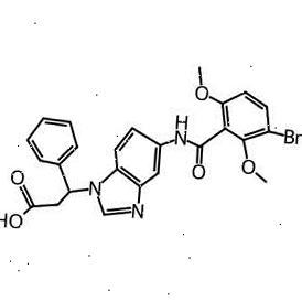 COc1ccc(Br)c(OC)c1C(=O)Nc1ccc2c(c1)ncn2C(CC(=O)O)c1ccccc1